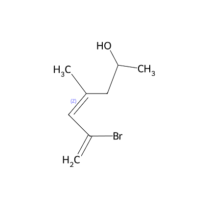 C=C(Br)/C=C(/C)CC(C)O